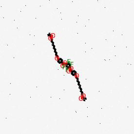 C=C(C)C(=O)OCCCCCCCCCCCOc1ccc(C(=O)Oc2c(F)c(F)c(OC(=O)c3ccc(OCCCCCCCCCCCOC(=O)C(=C)C)cc3)c(F)c2F)cc1